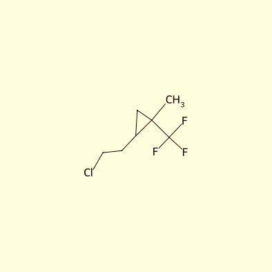 CC1(C(F)(F)F)CC1CCCl